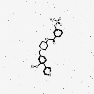 CCOc1cc(CN2CCC(NC(=O)c3cccc(OS(C)(=O)=O)c3)CC2)ccc1-c1ccncc1